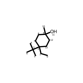 CCC1(C(C)(C)C)CCC(C)(O)CC1